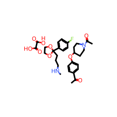 CC(=O)c1ccc(OC2CCN(C(C)=O)CC2)cc1.CNCCCC1(c2ccc(F)cc2)OCCO1.O=C(O)C(=O)O